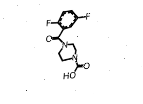 O=C(O)N1CCN(C(=O)c2cc(F)ccc2F)CC1